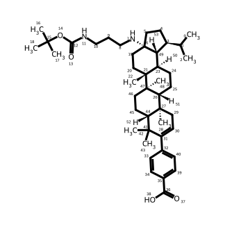 CC(C)[C@@H]1CC[C@]2(NCCCNC(=O)OC(C)(C)C)CC[C@]3(C)[C@H](CC[C@@H]4[C@@]5(C)CC=C(c6ccc(C(=O)O)cc6)C(C)(C)[C@@H]5CC[C@]43C)[C@@H]12